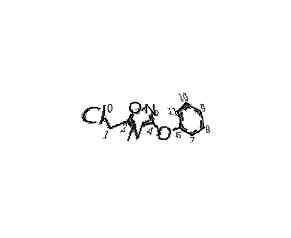 ClCc1nc(Oc2ccccc2)no1